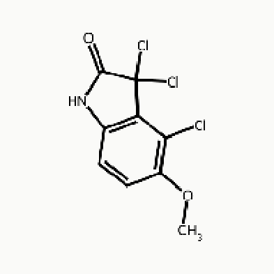 COc1ccc2c(c1Cl)C(Cl)(Cl)C(=O)N2